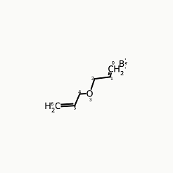 C=CCOCC=C.[B]